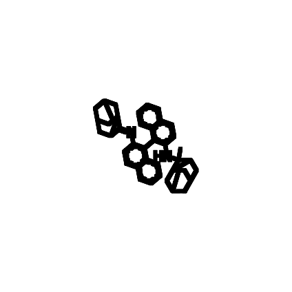 CC1(Nc2ccc3ccccc3c2-c2c(N=C3C4CC5CC(C4)CC3C5)ccc3ccccc23)C2CC3CC(C2)CC1C3